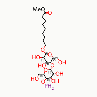 COC(=O)CCCCCCCCO[C@H]1O[C@H](CO)[C@@H](O[C@@H]2O[C@H](CO)[C@H](OP)[C@H](O)[C@H]2O)[C@H](O)[C@H]1O